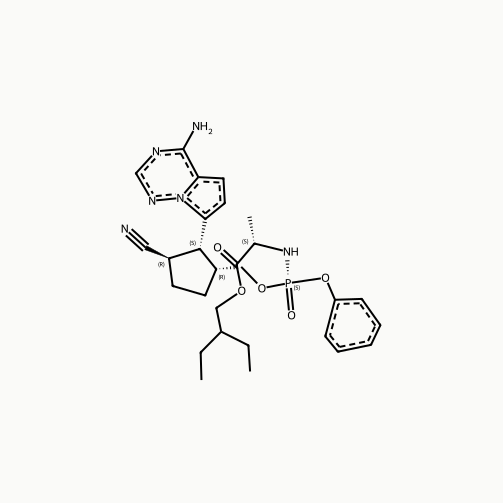 CCC(CC)COC(=O)[C@H](C)N[P@](=O)(OC[C@@H]1CC[C@@H](C#N)[C@@H]1c1ccc2c(N)ncnn12)Oc1ccccc1